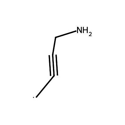 [CH2]C#CCN